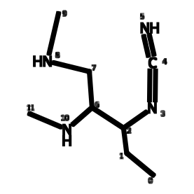 CCC(N=C=N)C(CNC)NC